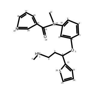 CNCCC(Oc1cccc(N(C)C(=O)c2cccnc2)c1)c1cccs1